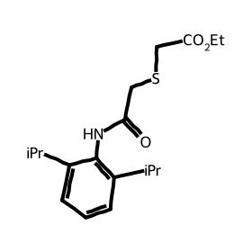 CCOC(=O)CSCC(=O)Nc1c(C(C)C)cccc1C(C)C